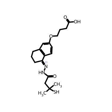 CC(C)(S)CC(=O)N/N=C1\CCCc2cc(OCCCC(=O)O)ccc21